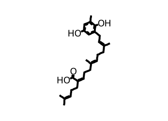 CC(C)=CCC/C(=C/CC/C(C)=C/CC/C(C)=C/Cc1cc(O)cc(C)c1O)C(=O)O